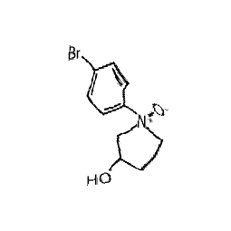 [O-][N+]1(c2ccc(Br)cc2)CCC(O)C1